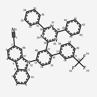 N#Cc1ccc2c3ccccc3n(-c3ccc(-c4cccc(C(F)(F)F)c4)c(-c4nc(-c5ccccc5)nc(-c5ccccc5)n4)c3)c2c1